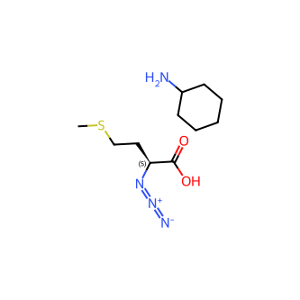 CSCC[C@H](N=[N+]=[N-])C(=O)O.NC1CCCCC1